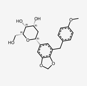 COc1ccc(Cc2cc([C@H]3C[C@@H](O)[C@@H](O)[C@@H](CO)O3)cc3c2OCO3)cc1